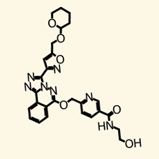 O=C(NCCO)c1ccc(COc2nn3c(-c4cc(COC5CCCCO5)on4)nnc3c3ccccc23)nc1